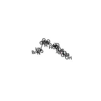 CC[C@H](C)[C@@H]([C@@H](CC(=O)N1CCC[C@H]1[C@H](OC)[C@@H](C)C(=O)N[C@H](C)[C@@H](O)c1ccccc1)OC)N(C)C(=O)[C@@H](NC(=O)[C@H](C(C)C)N(CCc1ccc(NC(=O)[C@H](C)NC(=O)[C@@H](NC(=O)CCCCCNC(=O)c2cnc(CBr)nc2)C(C)C)cc1)C(=O)O)C(C)C